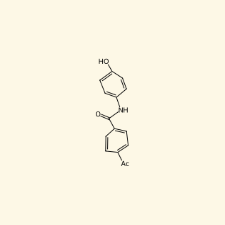 CC(=O)c1ccc(C(=O)Nc2ccc(O)cc2)cc1